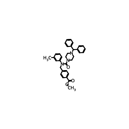 COC(=O)c1ccc(CN(C(=O)N2CCN(C(c3ccccc3)c3ccccc3)CC2)c2cccc(C)c2)cc1